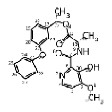 COc1ccnc(C(=O)N[C@@H](C)C(=O)O[C@@H](C)c2cccc(Oc3ccccc3)c2)c1O